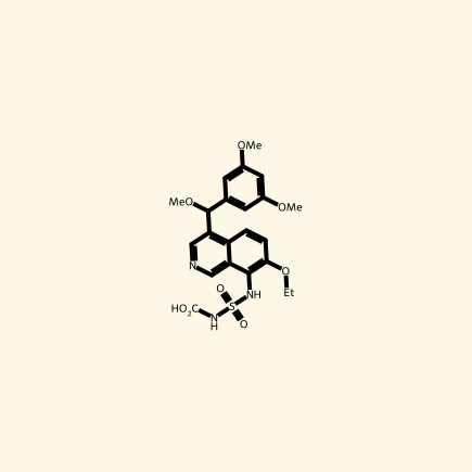 CCOc1ccc2c(C(OC)c3cc(OC)cc(OC)c3)cncc2c1NS(=O)(=O)NC(=O)O